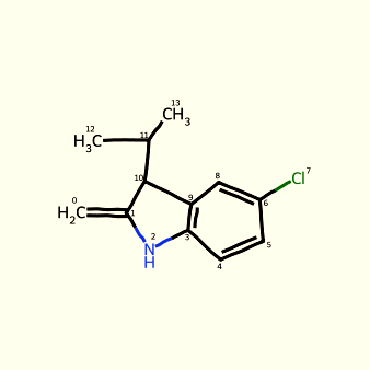 C=C1Nc2ccc(Cl)cc2C1C(C)C